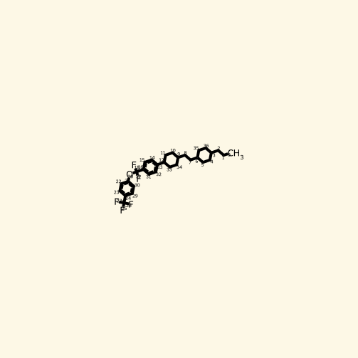 CCCC1CCC(CCC2CCC(c3ccc(C(F)(F)Oc4ccc(C(F)(F)F)cc4)cc3)CC2)CC1